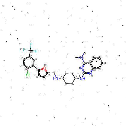 CN(C)c1nc(N[C@H]2CC[C@@H](NCc3ccc(-c4cc(C(F)(F)F)ccc4Cl)o3)CC2)nc2ccccc12